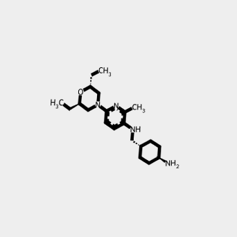 CC[C@@H]1CN(c2ccc(NC[C@H]3CC[C@H](N)CC3)c(C)n2)C[C@@H](CC)O1